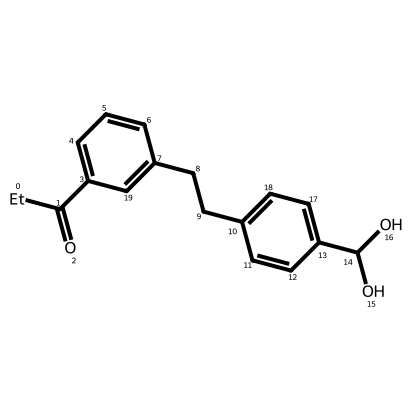 CCC(=O)c1cccc(CCc2ccc(C(O)O)cc2)c1